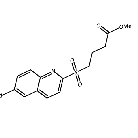 COC(=O)CCCS(=O)(=O)c1ccc2cc(Cl)ccc2n1